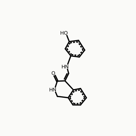 O=C1NCc2ccccc2C1=CNc1cccc(O)c1